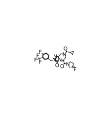 O=C(C1CC1)N1Cc2nn(Cc3ccc(F)c(C(F)(F)F)c3)c(=O)n2[C@H](C(=O)N2CC[C@H](F)C2)C1